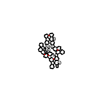 c1ccc(-c2nc(-c3cccc(-c4ccc5c(c4)-c4ccccc4C54c5ccccc5Oc5cc6c7c8ccccc8ccc7n(-c7ccc(-c8ccc9ccccc9c8)cc7)c6cc54)c3)nc(-n3c4cc5c(cc4c4c6ccccc6ccc43)Oc3ccccc3C53c4ccccc4-c4ccccc43)n2)cc1